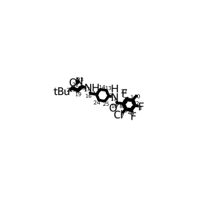 Cc1c(F)c(F)c(Cl)c(C(=O)NC2CCC(CNc3cc(C(C)(C)C)on3)CC2)c1F